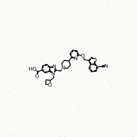 N#Cc1cccc2c(COc3cccc(C4CCN(Cc5nc6ccc(C(=O)O)cc6n5CC5CCO5)CC4)n3)csc12